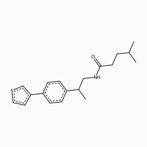 CC(C)CCC(=O)NCC(C)c1ccc(-c2ccsc2)cc1